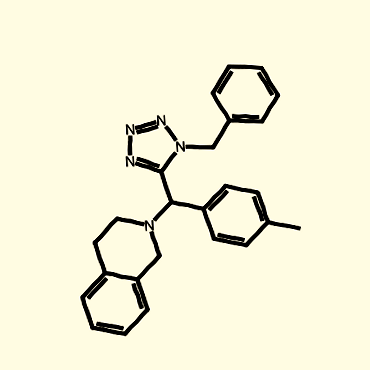 Cc1ccc(C(c2nnnn2Cc2ccccc2)N2CCc3ccccc3C2)cc1